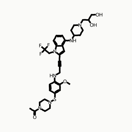 COc1cc(SN2CCN(C(C)=O)CC2)ccc1NCC#Cc1cc2c(NC3CCN(CC(O)CO)CC3)cccc2n1CC(F)(F)F